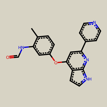 Cc1ccc(Oc2cc(-c3ccncc3)nc3[nH]ccc23)cc1NC=O